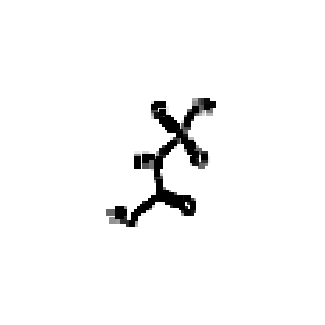 CC(C)S(=O)(=O)NC(=O)C(C)(C)C